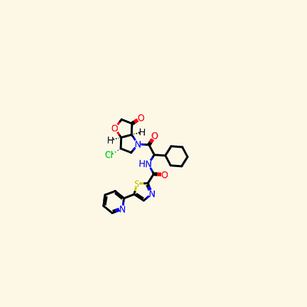 O=C(NC(C(=O)N1C[C@H](Cl)[C@H]2OCC(=O)[C@H]21)C1CCCCC1)c1ncc(-c2ccccn2)s1